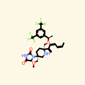 C=C(/C=C\C=C/C)[C@]1(CO[C@H](C)c2cc(C(F)(F)F)cc(C(F)(F)F)c2)CC[C@](COC)(N2CC(=O)NC2=O)CN1